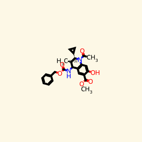 COC(=O)c1cc2c(cc1O)N(C(C)=O)[C@@H](C1CC1)[C@H](C)C2NC(=O)OCc1ccccc1